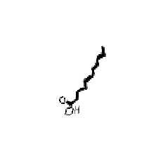 C/C=C/CC/C=C/CCCC(=O)O